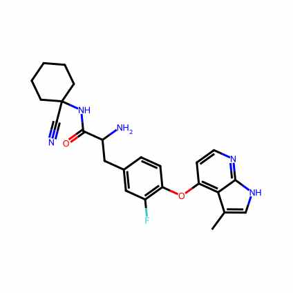 Cc1c[nH]c2nccc(Oc3ccc(CC(N)C(=O)NC4(C#N)CCCCC4)cc3F)c12